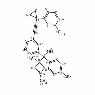 Cc1cc(C2(C#Cc3cncc(C(O)(c4ccc(C(C)C)cc4)C4(C)CN(C)C4)c3)CC2)ncn1